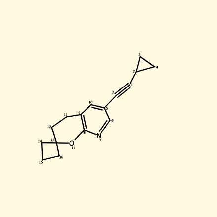 C(#CC1CC1)c1cnc2c(c1)CCC1(CCC1)O2